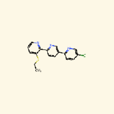 CCSc1cccnc1-c1ccc(-c2ccc(Cl)cn2)cn1